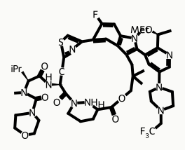 CCn1c(-c2cc(N3CCN(CC(F)(F)F)CC3)cnc2[C@H](C)OC)c2c3cc(c(F)cc31)-c1csc(n1)C[C@H](NC(=O)[C@H](C(C)C)N(C)C(=O)N1CCOCC1)C(=O)N1CCC[C@H](N1)C(=O)OCC(C)(C)C2